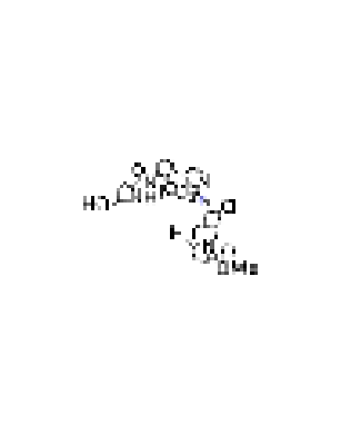 COC(=O)[C@@H]1CCCCN1Cc1cc(Cl)c(/C=C/c2nccc(-c3cccc(NC(=O)c4ccc(CO)cn4)c3C)c2C#N)cc1C